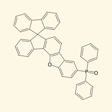 O=P(c1ccccc1)(c1ccccc1)c1ccc2oc3c4c(ccc3c2c1)C1(c2ccccc2-c2ccccc21)c1ccccc1-4